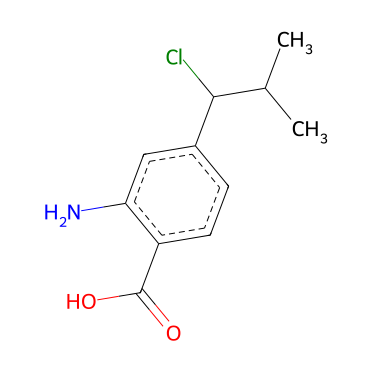 CC(C)C(Cl)c1ccc(C(=O)O)c(N)c1